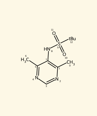 Cc1ncnc(C)c1NS(=O)(=O)C(C)(C)C